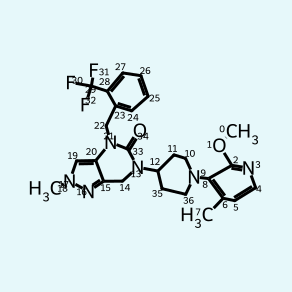 COc1nccc(C)c1N1CCC(N2Cc3nn(C)cc3N(Cc3ccccc3C(F)(F)F)C2=O)CC1